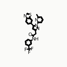 Cc1cccc(-n2nc(CC(=O)Nc3cccc(C(F)(F)F)c3)cc2-c2ccc3ncsc3c2)n1